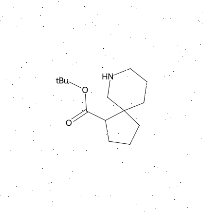 CC(C)(C)OC(=O)C1CCCC12CCCNC2